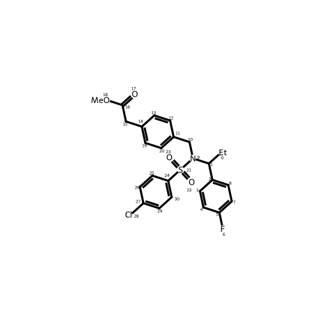 CCC(c1ccc(F)cc1)N(Cc1ccc(CC(=O)OC)cc1)S(=O)(=O)c1ccc(Cl)cc1